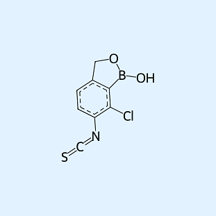 OB1OCc2ccc(N=C=S)c(Cl)c21